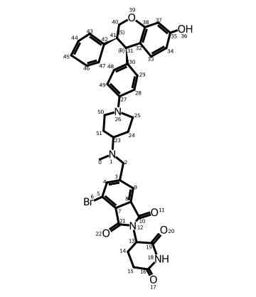 CN(Cc1cc(Br)c2c(c1)C(=O)N(C1CCC(=O)NC1=O)C2=O)C1CCN(c2ccc([C@@H]3c4ccc(O)cc4OC[C@@H]3c3ccccc3)cc2)CC1